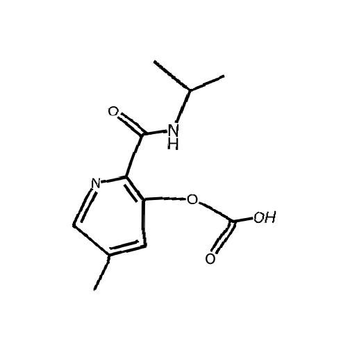 Cc1cnc(C(=O)NC(C)C)c(OC(=O)O)c1